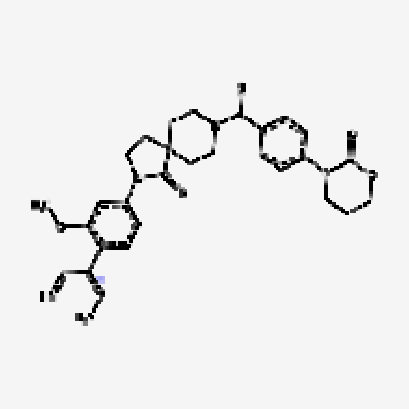 COc1cc(N2CCC3(CCN(C(=O)c4ccc(N5CCCOC5=O)cc4)CC3)C2=O)ccc1/C(C=N)=C/N